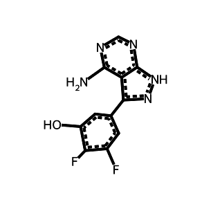 Nc1ncnc2[nH]nc(-c3cc(O)c(F)c(F)c3)c12